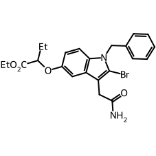 CCOC(=O)C(CC)Oc1ccc2c(c1)c(CC(N)=O)c(Br)n2Cc1ccccc1